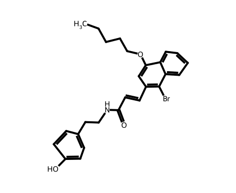 CCCCCOc1cc(C=CC(=O)NCCc2ccc(O)cc2)c(Br)c2ccccc12